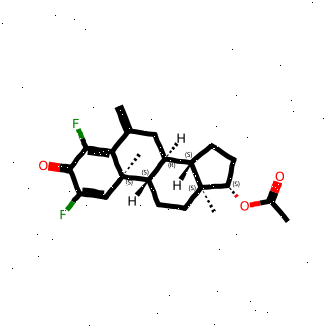 C=C1C[C@H]2[C@@H]3CC[C@H](OC(C)=O)[C@@]3(C)CC[C@@H]2[C@@]2(C)C=C(F)C(=O)C(F)=C12